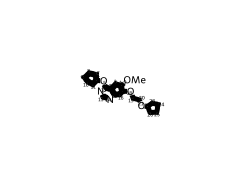 COc1cc2c(Oc3ccccc3)ncnc2cc1OCCOC1CCCC1